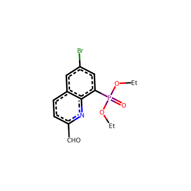 CCOP(=O)(OCC)c1cc(Br)cc2ccc(C=O)nc12